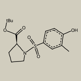 Cc1cc(S(=O)(=O)N2CCC[C@H]2C(=O)OC(C)(C)C)ccc1O